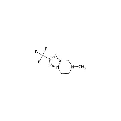 CN1CCn2cc(C(F)(F)F)nc2C1